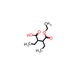 CCOC(=O)C(CC)C(CC)C(=O)O